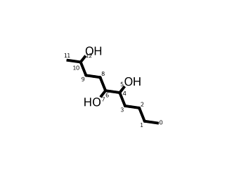 CCCCC(O)C(O)CCC(C)O